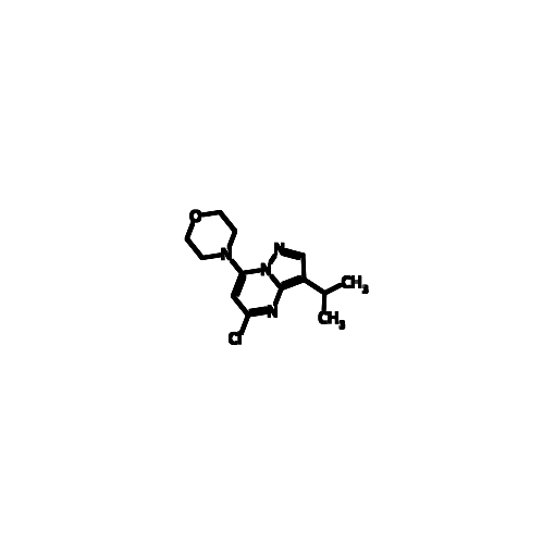 CC(C)c1cnn2c(N3CCOCC3)cc(Cl)nc12